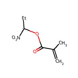 C=C(C)C(=O)O[C](CC)[N+](=O)[O-]